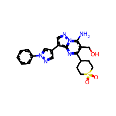 Nc1c(CO)c(C2CCS(=O)(=O)CC2)nc2c(-c3cnn(-c4ccccc4)c3)cnn12